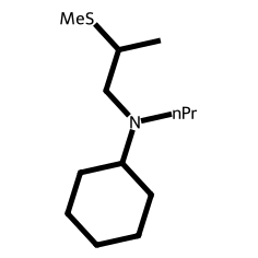 CCCN(CC(C)SC)C1CCCCC1